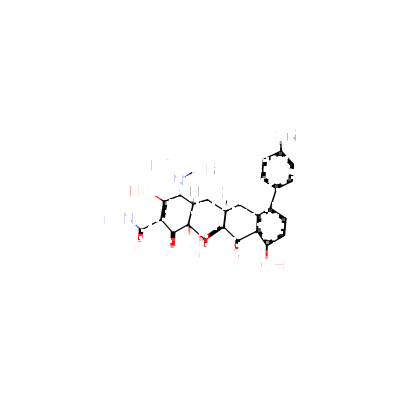 CN(C)[C@H]1C(O)=C(C(N)=O)C(=O)[C@@]2(O)C(O)=C3C(=O)c4c(O)ccc(-c5ccc(C#N)cc5)c4C[C@H]3C[C@H]12